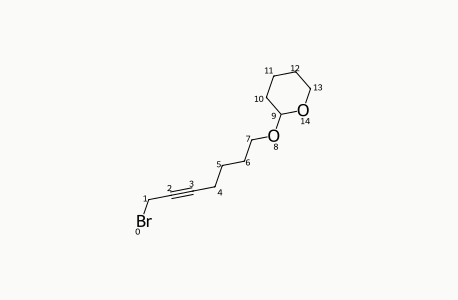 BrCC#CCCCCOC1CCCCO1